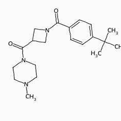 CN1CCN(C(=O)C2CN(C(=O)c3ccc(C(C)(C)C)cc3)C2)CC1